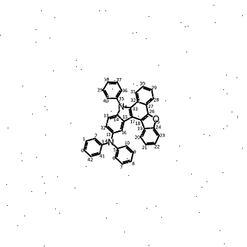 c1ccc(N(c2ccccc2)c2ccc3c(c2)c2c4c5ccccc5oc4c4ccccc4c2n3-c2ccccc2)cc1